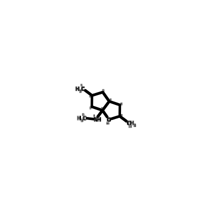 CNC12CC(C)CC1CC(C)O2